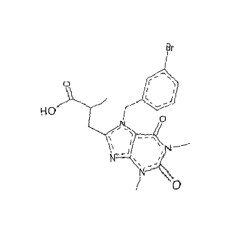 CC(Cc1nc2c(c(=O)n(C)c(=O)n2C)n1Cc1cccc(Br)c1)C(=O)O